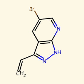 C=Cc1n[nH]c2ncc(Br)cc12